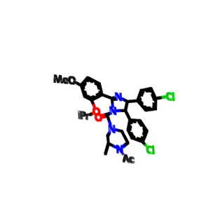 COc1ccc(C2=NC(c3ccc(Cl)cc3)C(c3ccc(Cl)cc3)N2C(=O)N2CCN(C(C)=O)C(C)C2)c(OC(C)C)c1